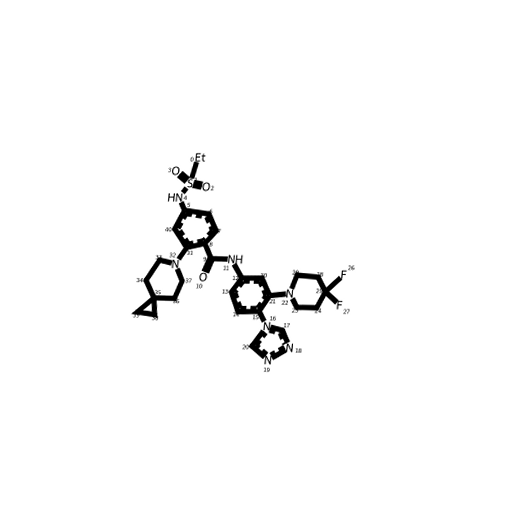 CCS(=O)(=O)Nc1ccc(C(=O)Nc2ccc(-n3cnnc3)c(N3CCC(F)(F)CC3)c2)c(N2CCC3(CC2)CC3)c1